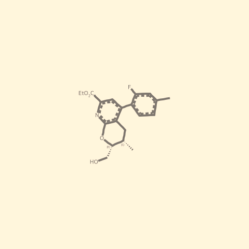 CCOC(=O)c1cc(-c2ccc(C)cc2F)c2c(n1)O[C@@H](CO)[C@@H](C)C2